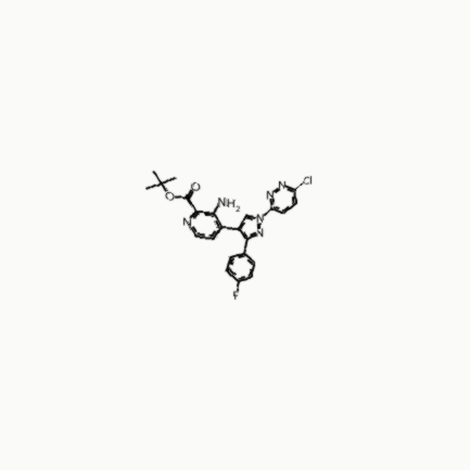 CC(C)(C)OC(=O)c1nccc(-c2cn(-c3ccc(Cl)nn3)nc2-c2ccc(F)cc2)c1N